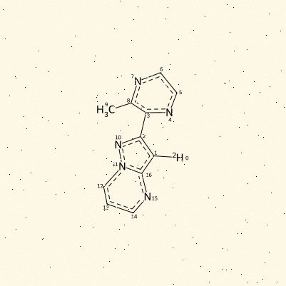 [2H]c1c(-c2nccnc2C)nn2cccnc12